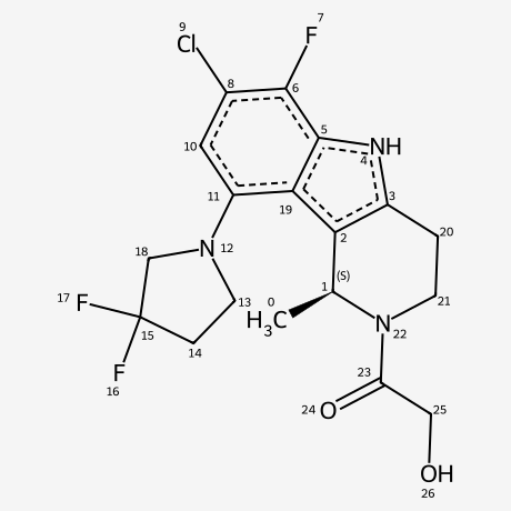 C[C@H]1c2c([nH]c3c(F)c(Cl)cc(N4CCC(F)(F)C4)c23)CCN1C(=O)CO